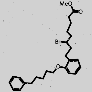 COC(=O)CCCCC(Br)CCc1ccccc1OCCCCCc1ccccc1